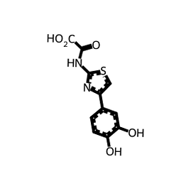 O=C(O)C(=O)Nc1nc(-c2ccc(O)c(O)c2)cs1